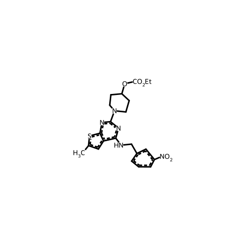 CCOC(=O)OC1CCN(c2nc(NCc3cccc([N+](=O)[O-])c3)c3cc(C)sc3n2)CC1